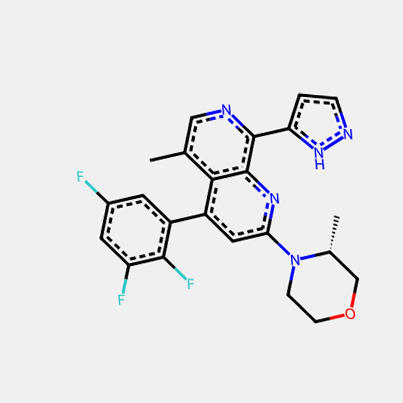 Cc1cnc(-c2ccn[nH]2)c2nc(N3CCOC[C@H]3C)cc(-c3cc(F)cc(F)c3F)c12